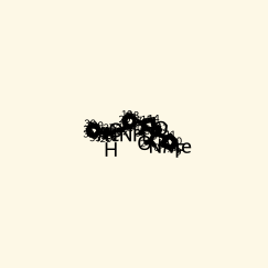 CNC(=O)c1c(-c2ccc(F)cc2)oc2ccc(-c3cccc(CONC(C)(C)c4ccccc4)c3)c(NC(C)=O)c12